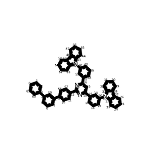 c1ccc(-c2cccc(-c3ccc(-c4nc(-c5cccc(-n6c7ccccc7c7ccccc76)c5)cc(-c5cccc(-n6c7ccccc7c7ccccc76)c5)n4)cc3)c2)cc1